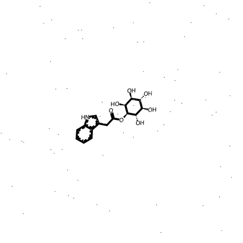 O=C(Cc1c[nH]c2ccccc12)O[C@@H]1[C@@H](O)[C@H](O)[C@@H](O)[C@H](O)[C@@H]1O